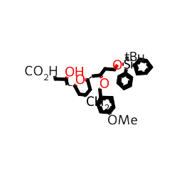 C=C1C[C@H](CC(O)CC(=O)O)O[C@H](CC(CCO[Si](c2ccccc2)(c2ccccc2)C(C)(C)C)OCc2ccc(OC)cc2)C1